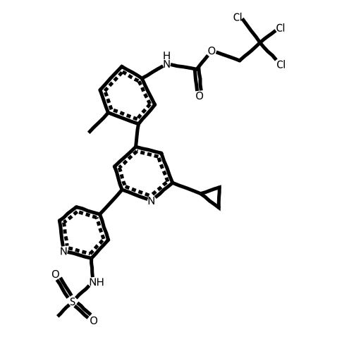 Cc1ccc(NC(=O)OCC(Cl)(Cl)Cl)cc1-c1cc(-c2ccnc(NS(C)(=O)=O)c2)nc(C2CC2)c1